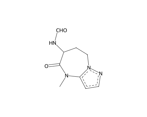 CN1C(=O)C(NC=O)CCn2nccc21